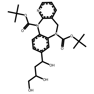 CC(C)(C)OC(=O)N1Cc2cccnc2N(C(=O)OC(C)(C)C)c2ccc(C(O)CC(O)CO)cc21